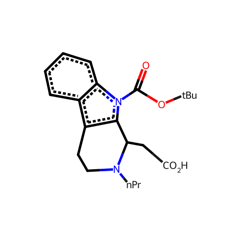 CCCN1CCc2c(n(C(=O)OC(C)(C)C)c3ccccc23)C1CC(=O)O